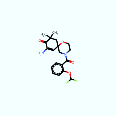 CC1(C)CC2(C=C(N)C1=O)CN(C(=O)c1ccccc1OC(F)F)CCO2